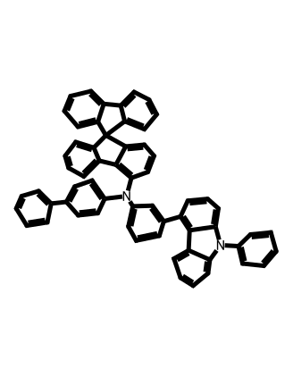 c1ccc(-c2ccc(N(c3cccc(-c4cccc5c4c4ccccc4n5-c4ccccc4)c3)c3cccc4c3-c3ccccc3C43c4ccccc4-c4ccccc43)cc2)cc1